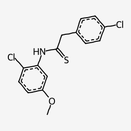 COc1ccc(Cl)c(NC(=S)Cc2ccc(Cl)cc2)c1